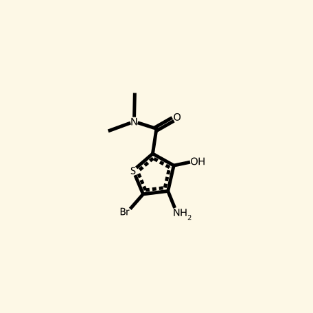 CN(C)C(=O)c1sc(Br)c(N)c1O